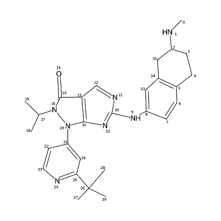 CNC1CCc2ccc(Nc3ncc4c(=O)n(C(C)C)n(-c5ccnc(C(C)(C)C)c5)c4n3)cc2C1